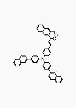 O=Cc1cc2ccccc2cc1C(=O)/C=C/c1ccc(N(c2ccc(-c3ccc4ccccc4c3)cc2)c2ccc(-c3ccc4ccccc4c3)cc2)cc1